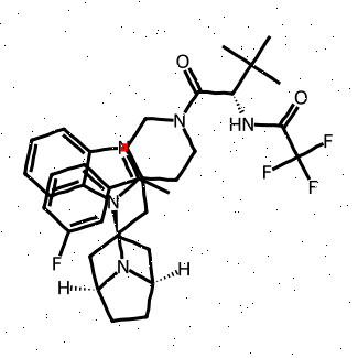 Cc1nc2ccccc2n1[C@H]1C[C@H]2CC[C@@H](C1)N2CCC1(c2cccc(F)c2)CCN(C(=O)[C@@H](NC(=O)C(F)(F)F)C(C)(C)C)CC1